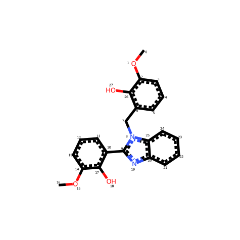 COc1cccc(Cn2c(-c3cccc(OC)c3O)nc3ccccc32)c1O